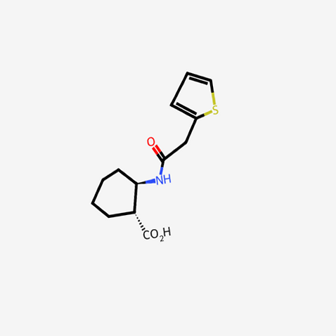 O=C(Cc1cccs1)N[C@@H]1CCCC[C@H]1C(=O)O